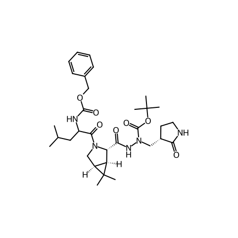 CC(C)CC(NC(=O)OCc1ccccc1)C(=O)N1C[C@H]2[C@@H]([C@H]1C(=O)NN(C[C@@H]1CCNC1=O)C(=O)OC(C)(C)C)C2(C)C